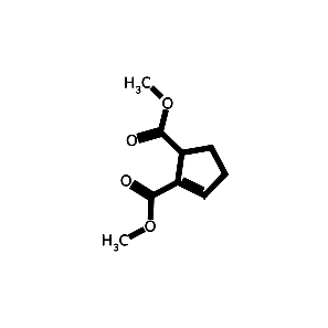 COC(=O)C1=[C]CCC1C(=O)OC